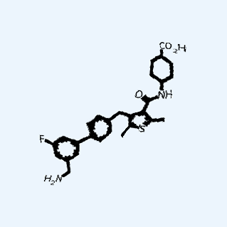 Cc1sc(C)c(C(=O)NC2CCC(C(=O)O)CC2)c1Cc1ccc(-c2cc(F)cc(CN)c2)cc1